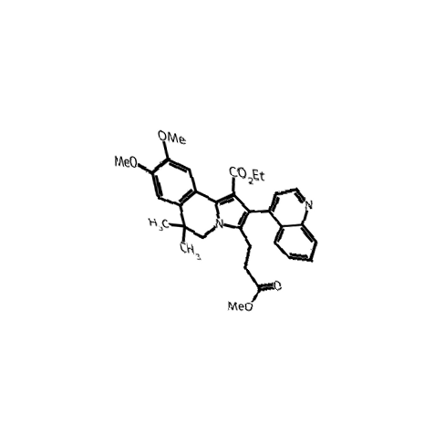 CCOC(=O)c1c(-c2ccnc3ccccc23)c(CCC(=O)OC)n2c1-c1cc(OC)c(OC)cc1C(C)(C)C2